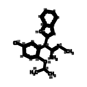 CN=C(N)N(c1cc2ccccc2o1)c1cc(Cl)ccc1OC(C)C